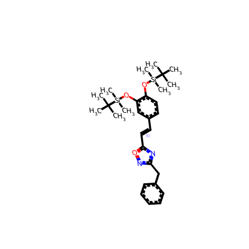 CC(C)(C)[Si](C)(C)Oc1ccc(/C=C/c2nc(Cc3ccccc3)no2)cc1O[Si](C)(C)C(C)(C)C